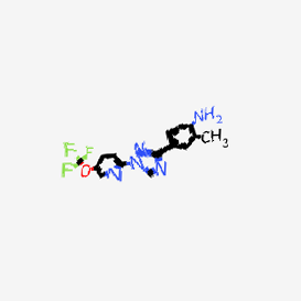 Cc1cc(-c2ncn(-c3ccc(OC(F)(F)F)cn3)n2)ccc1N